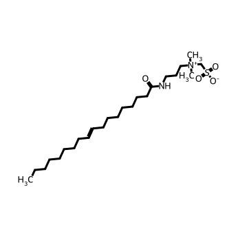 CCCCCCCCC=CCCCCCCCC(=O)NCCC[N+](C)(C)CS(=O)(=O)[O-]